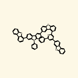 c1ccc(-c2cc(-c3ccc4c(c3)oc3ccccc34)cc(-c3cccc4oc5ccc(-c6ccc7c(c6)c6ccc(-c8cccc9c8sc8ccccc89)cc6n7-c6ccccc6)cc5c34)n2)cc1